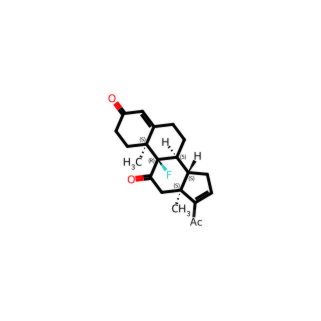 CC(=O)C1=CC[C@H]2[C@@H]3CCC4=CC(=O)CC[C@]4(C)[C@@]3(F)C(=O)C[C@]12C